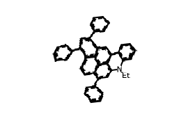 CCN1c2ccccc2-c2cc3c(-c4ccccc4)cc(-c4ccccc4)c4ccc5c(-c6ccccc6)cc1c2c5c43